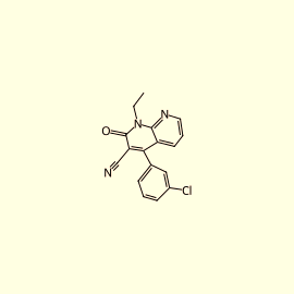 CCn1c(=O)c(C#N)c(-c2cccc(Cl)c2)c2cccnc21